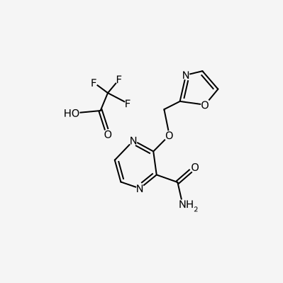 NC(=O)c1nccnc1OCc1ncco1.O=C(O)C(F)(F)F